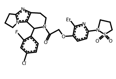 CCc1nc(N2CCCS2(=O)=O)ccc1OCC(=O)N1CCc2nc3n(c2C1c1ccc(Cl)cc1F)CCC3